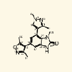 Cc1nn(C)cc1-c1cc(-c2c(C)noc2C)cc2[nH]c(=O)n(C)c12